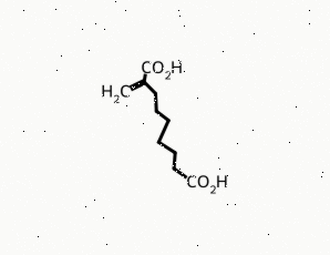 C=C(CCCCCCC(=O)O)C(=O)O